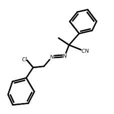 CC(C#N)(N=NCC(Cl)c1ccccc1)c1ccccc1